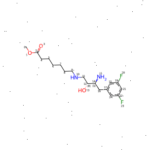 COC(=O)CCCCCCNC[C@@H](O)[C@@H](N)Cc1cc(F)cc(F)c1